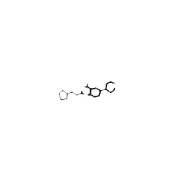 CCc1nc(CCC2CCCC2)nc2ccc(-c3ccncc3)cc12